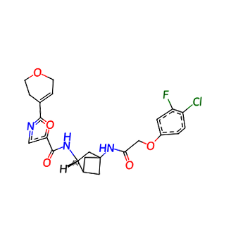 O=C(COc1ccc(Cl)c(F)c1)NC12CC(C1)[C@H](NC(=O)c1cnc(C3=CCOCC3)o1)C2